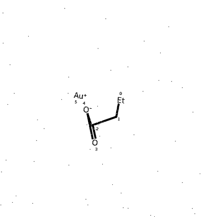 CCCC(=O)[O-].[Au+]